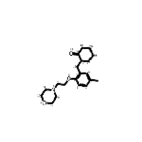 Cc1ccc(OCCN2CCOCC2)c(CC2CCCCC2=O)c1